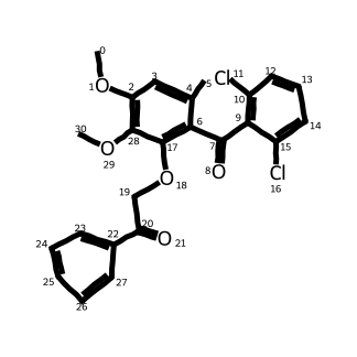 COc1cc(C)c(C(=O)c2c(Cl)cccc2Cl)c(OCC(=O)c2ccccc2)c1OC